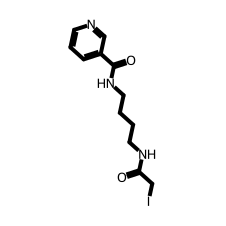 O=C(CI)NCCCCNC(=O)c1cccnc1